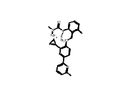 Cc1cccc(-c2ccc(OCc3c(C)cccc3N(N)C(=O)N(C)N)c(C3CC3)c2)n1